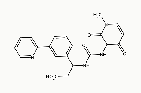 CN1C=CC(=O)C(NC(=O)NC(CC(=O)O)c2cccc(-c3ccccn3)c2)C1=O